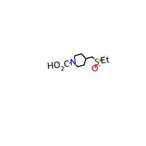 CC[S+]([O-])CC1CCN(C(=O)O)CC1